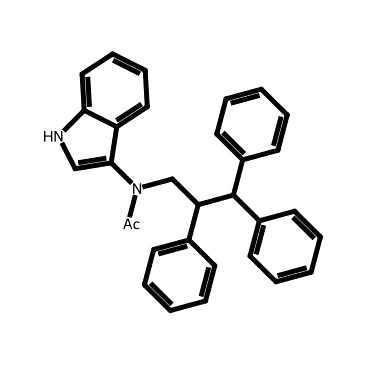 CC(=O)N(CC(c1ccccc1)C(c1ccccc1)c1ccccc1)c1c[nH]c2ccccc12